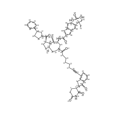 O=C1CCC(N2Cc3c(C#CCCCCCC(=O)N4CC[C@H]5CC[C@@H](C(=O)N6CC[C@@H](c7ccccc7)C6)N5C(=O)[C@@H](NC(=O)c5cc6cc(C(F)(F)P(=O)(O)O)ccc6s5)C4)cccc3C2=O)C(=O)N1